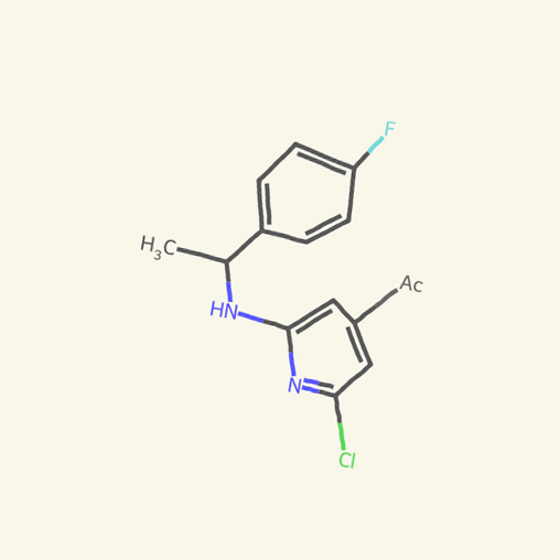 CC(=O)c1cc(Cl)nc(NC(C)c2ccc(F)cc2)c1